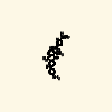 Cc1ccc(NC(=O)c2ccc(NC(C)C)nc2)c(C)c1C(=O)N1CCC(F)(c2ccc(N)cc2)CC1